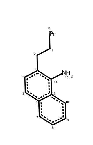 CC(C)CCc1ccc2ccccc2c1N